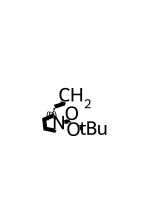 C=CC[C@H]1CCCN1C(=O)OC(C)(C)C